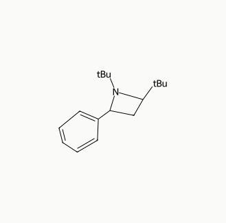 CC(C)(C)C1CC(c2ccccc2)N1C(C)(C)C